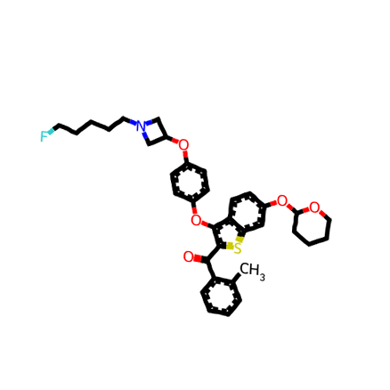 Cc1ccccc1C(=O)c1sc2cc(OC3CCCCO3)ccc2c1Oc1ccc(OC2CN(CCCCCF)C2)cc1